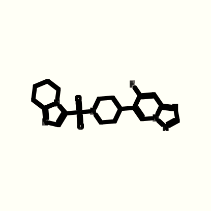 O=S(=O)(c1cnc2n1CCCC2)N1CCC(c2cn3ncnc3cc2F)CC1